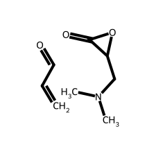 C=CC=O.CN(C)CC1OC1=O